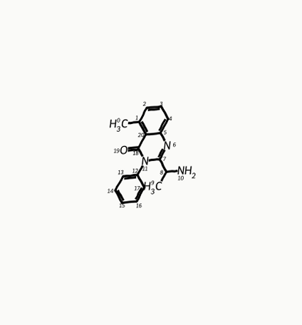 Cc1cccc2nc(C(C)N)n(-c3ccccc3)c(=O)c12